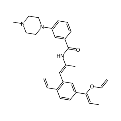 C=CO/C(=C\C)c1ccc(C=C)c(/C=C(\C)NC(=O)c2cccc(N3CCN(C)CC3)c2)c1